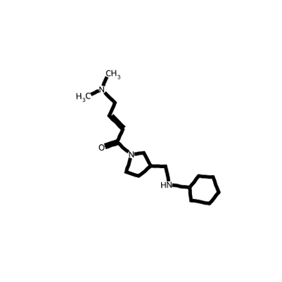 CN(C)C/C=C/C(=O)N1CCC(CNC2CCCCC2)C1